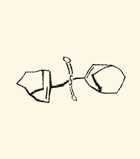 O=S(=O)(C1=CC2CCC1C2)C1=CC2CCC1C2